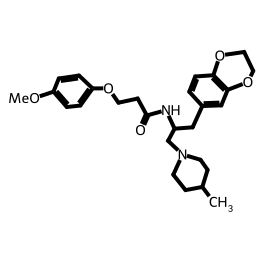 COc1ccc(OCCC(=O)NC(Cc2ccc3c(c2)OCCO3)CN2CCC(C)CC2)cc1